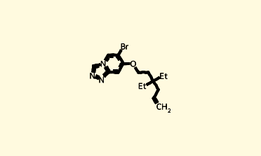 C=CCC(CC)(CC)CCOc1cc2nncn2cc1Br